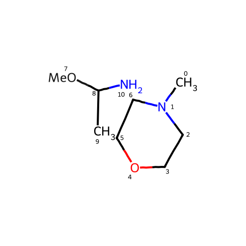 CN1CCOCC1.COC(C)N